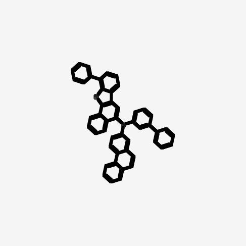 c1ccc(-c2cccc(N(c3ccc4c(ccc5ccccc54)c3)c3cc4c5cccc(-c6ccccc6)c5oc4c4ccccc34)c2)cc1